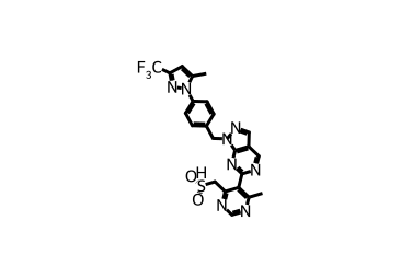 Cc1ncnc(C[SH](=O)=O)c1-c1ncc2cnn(Cc3ccc(-n4nc(C(F)(F)F)cc4C)cc3)c2n1